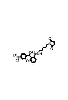 CCN(CC)c1ccc(C(=O)c2ccccc2C(=O)NCCCCCN2C(=O)C=CC2=O)c(O)c1